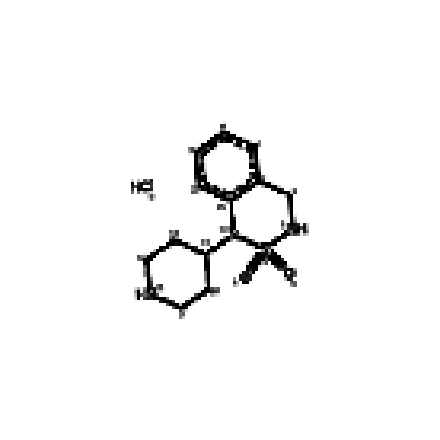 Cl.O=S1(=O)NCc2ccccc2N1C1CCNCC1